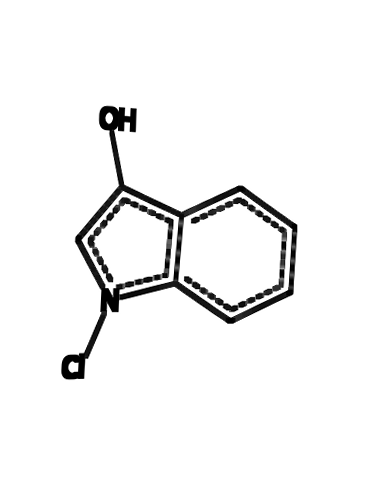 Oc1cn(Cl)c2ccccc12